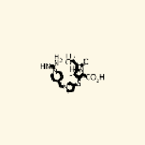 C[C@@H](O)[C@H]1C(=O)N2C(C(=O)O)=C(SC3CCN(CC4CCN(C(=N)N)CC4)C3)[C@H](C)[C@H]12